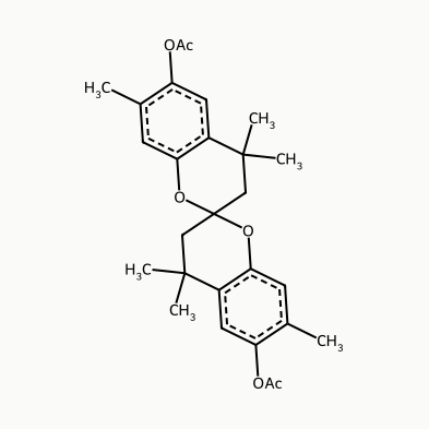 CC(=O)Oc1cc2c(cc1C)OC1(CC2(C)C)CC(C)(C)c2cc(OC(C)=O)c(C)cc2O1